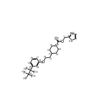 O=C(OCc1nccs1)N1CCC(CCOc2cccc(C(F)(F)C(F)(F)F)c2)CC1